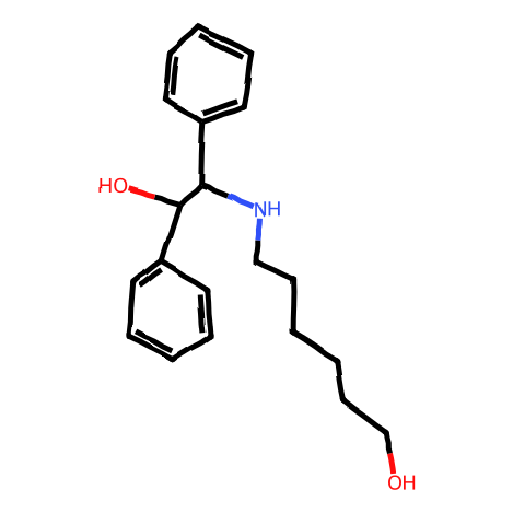 OCCCCCCNC(c1ccccc1)C(O)c1ccccc1